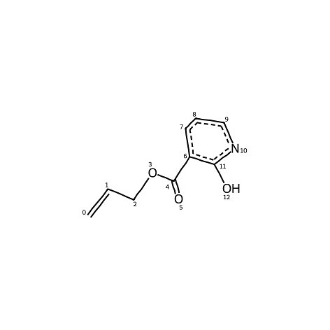 C=CCOC(=O)c1cccnc1O